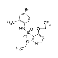 Cc1cc(Br)ccc1NS(=O)(=O)c1c(OCC(F)(F)F)ncnc1OCC(F)(F)F